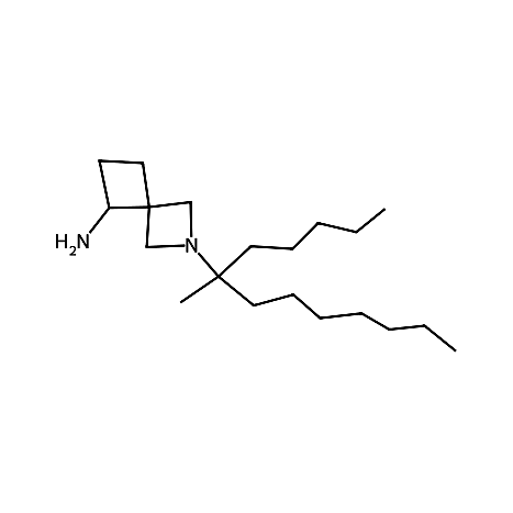 CCCCCCCC(C)(CCCCC)N1CC2(CCC2N)C1